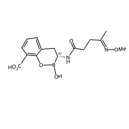 CON=C(C)CCC(=O)N[C@H]1Cc2cccc(C(=O)O)c2OB1O